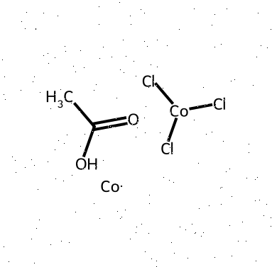 CC(=O)O.[Cl][Co]([Cl])[Cl].[Co]